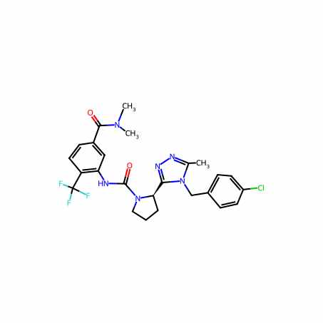 Cc1nnc([C@H]2CCCN2C(=O)Nc2cc(C(=O)N(C)C)ccc2C(F)(F)F)n1Cc1ccc(Cl)cc1